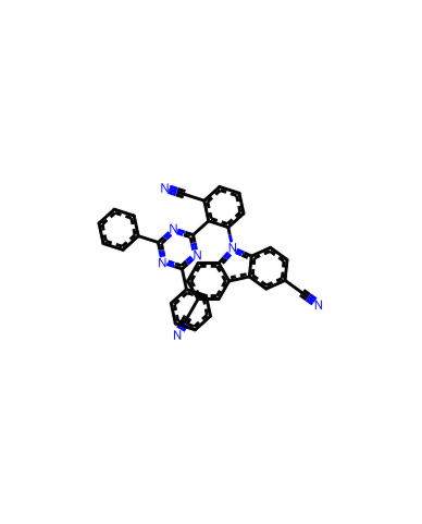 N#Cc1ccc2c(c1)c1cc(C#N)ccc1n2-c1cccc(C#N)c1-c1nc(-c2ccccc2)nc(-c2ccccc2)n1